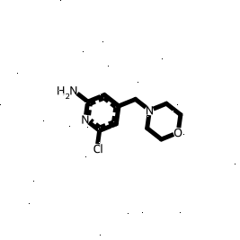 Nc1cc(CN2CCOCC2)cc(Cl)n1